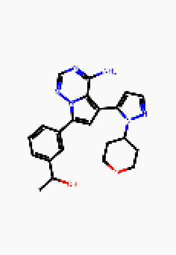 CC(O)c1cccc(-c2cc(-c3ccnn3C3CCOCC3)c3c(N)ncnn23)c1